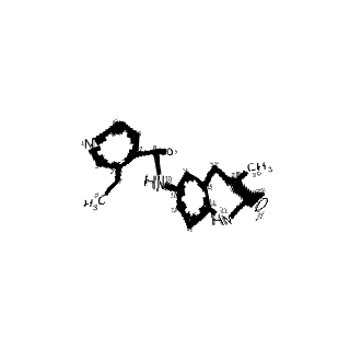 CCc1cnccc1C(=O)Nc1ccc2c(c1)CC(C)C(=O)N2